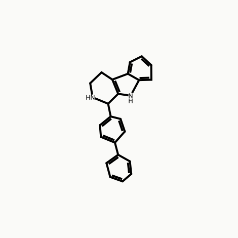 c1ccc(-c2ccc(C3NCCc4c3[nH]c3ccccc43)cc2)cc1